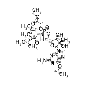 CCOC(=O)COP(=O)(N[C@@H](CC(C)C)C(=O)OC(C)C)OC[C@H]1O[C@@H](n2cnc3c(OCC)nc(N)nc32)[C@@](C)(O)C1O